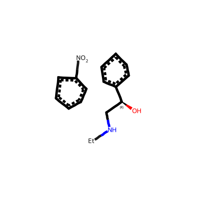 CCNC[C@H](O)c1ccccc1.O=[N+]([O-])c1ccccc1